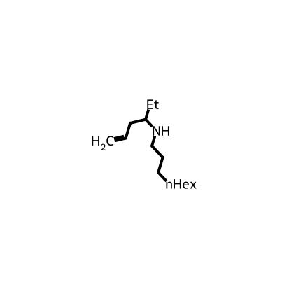 C=CCC(CC)NCCCCCCCCC